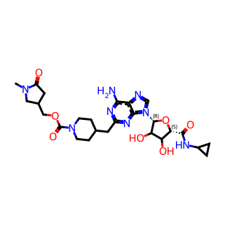 CN1CC(COC(=O)N2CCC(Cc3nc(N)c4ncn([C@@H]5O[C@H](C(=O)NC6CC6)C(O)C5O)c4n3)CC2)CC1=O